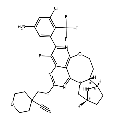 N#CC1(COc2nc3c4c(nc(-c5cc(N)cc(Cl)c5C(F)(F)F)c(F)c4n2)OCC[C@@H]2[C@@H]4CC[C@H](CN32)N4)CCOCC1